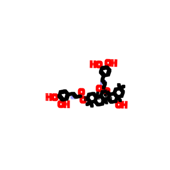 CC1(C)CC[C@]2(CO)CC[C@]3(COC(=O)/C=C/c4ccc(O)c(O)c4)C(=CCC4[C@@]5(C)CC[C@H](OC(=O)/C=C/c6ccc(O)c(O)c6)C(C)(C)C5CC[C@]43C)C2C1